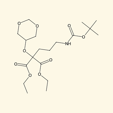 CCOC(=O)C(CCCNC(=O)OC(C)(C)C)(OC1COCOC1)C(=O)OCC